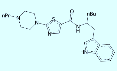 CCCCC(Cc1c[nH]c2ccccc12)NC(=O)c1cnc(N2CCN(CCC)CC2)s1